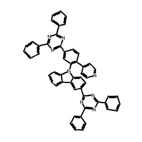 c1ccc(-c2nc(-c3ccccc3)nc(-c3ccc(-c4ccncc4)c(-n4c5ccccc5c5cc(-c6nc(-c7ccccc7)nc(-c7ccccc7)n6)ccc54)c3)n2)cc1